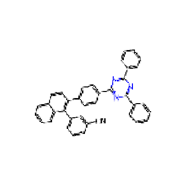 N#Cc1cccc(-c2c(-c3ccc(-c4nc(-c5ccccc5)nc(-c5ccccc5)n4)cc3)ccc3ccccc23)c1